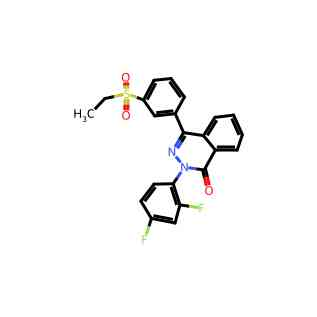 CCS(=O)(=O)c1cccc(-c2nn(-c3ccc(F)cc3F)c(=O)c3ccccc23)c1